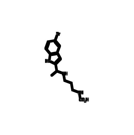 CC(NCCCNC(=O)O)c1cc2cc(Br)ccc2[nH]1